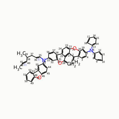 C=C1c2ccc(N(c3ccccc3)c3ccccc3)cc2Oc2ccc3c(c21)C(=C)Oc1cc(N(/C=C/CC(C)/C=C/C)c2ccc4oc5ccccc5c4c2)ccc1-3